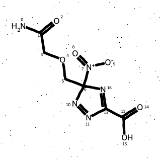 NC(=O)COCC1([N+](=O)[O-])N=NC(C(=O)O)=N1